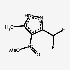 CO[N+](=O)c1c(C(F)F)n[nH]c1C